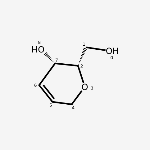 OC[C@@H]1OCC=C[C@@H]1O